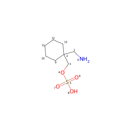 NCC1(COS(=O)(=O)O)CCCCC1